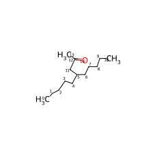 CCCCCC(CCCCC)CC(C)=O